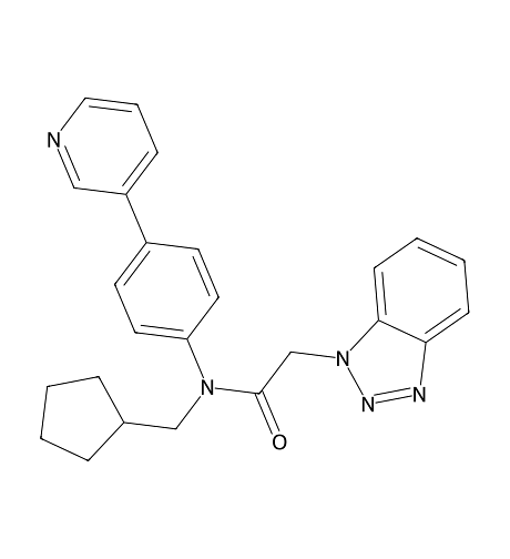 O=C(Cn1nnc2ccccc21)N(CC1CCCC1)c1ccc(-c2cccnc2)cc1